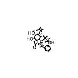 CC(C)(C[C@H]1[C@@H](O[Si](C)(C)C)[C@@]2(CC(=O)N2OCc2ccccc2)[C@H](O)[C@H](O)[C@]1(C#N)O[Si](C)(C)C)[Si](C)(C)O